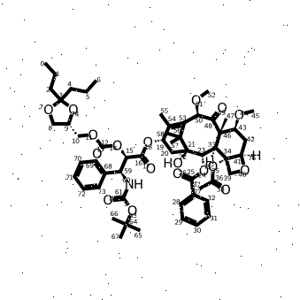 CCCC1(CCC)OC[C@@H](COC(=O)O[C@@H](C(=O)O[C@H]2C[C@@]3(O)[C@@H](OC(=O)c4ccccc4)[C@@H]4[C@]5(OC(C)=O)CO[C@@H]5C[C@H](OC)[C@@]4(C)C(=O)[C@H](OC)C(=C2C)C3(C)C)[C@@H](NC(=O)OC(C)(C)C)c2ccccc2)O1